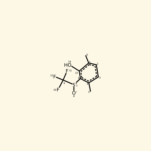 Cc1ccc(C)c([S+]([O-])C(F)(F)F)c1O